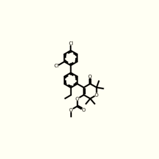 CCc1ccc(-c2ccc(Cl)cc2Cl)cc1C1=C(OC(=O)OC)C(C)(C)OC(C)(C)C1=O